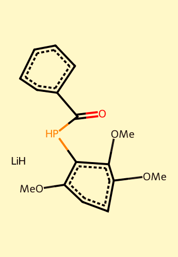 COc1ccc(OC)c(PC(=O)c2ccccc2)c1OC.[LiH]